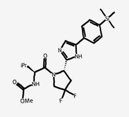 COC(=O)N[C@H](C(=O)N1CC(F)(F)C[C@H]1c1ncc(-c2ccc([Si](C)(C)C)cc2)[nH]1)C(C)C